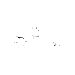 CCCCCCCCCCCCCCC(Cc1ccccc1)C(=O)O